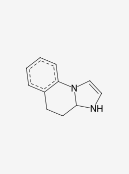 C1=CN2c3ccccc3CCC2N1